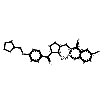 O=C(c1ccc(OCC2CCCC2)cc1)C1CCC(Cn2nnc3ccc(C(F)(F)F)cc3c2=O)C1C(=O)O